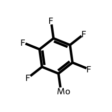 Fc1c(F)c(F)[c]([Mo])c(F)c1F